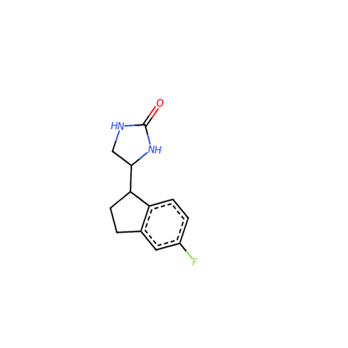 O=C1NCC(C2CCc3cc(F)ccc32)N1